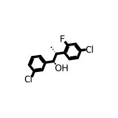 C[C@H](c1ccc(Cl)cc1F)[C@H](O)c1cccc(Cl)c1